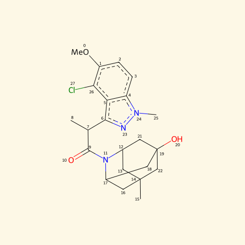 COc1ccc2c(c(C(C)C(=O)N3C4CC5(C)CC3CC(O)(C4)C5)nn2C)c1Cl